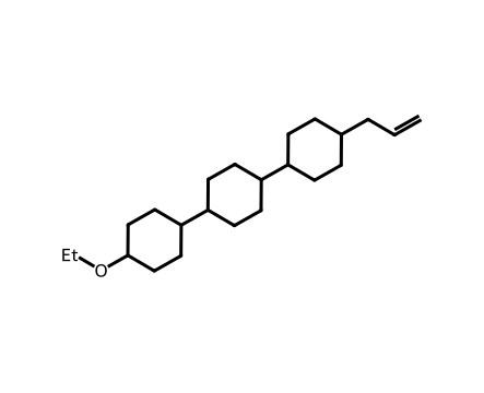 C=CCC1CCC(C2CCC(C3CCC(OCC)CC3)CC2)CC1